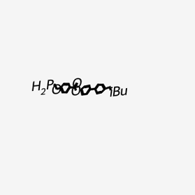 CCC(C)Cc1ccc(-c2ccc(OC(=O)c3ccc(OCP)cc3)cc2)cc1